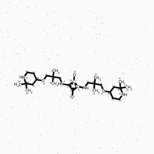 CC(C)(CNc1c([O-])[c+](NCC(C)(C)COC2CCNC(C)(C)C2)[c+]1[O-])COC1CCNC(C)(C)C1